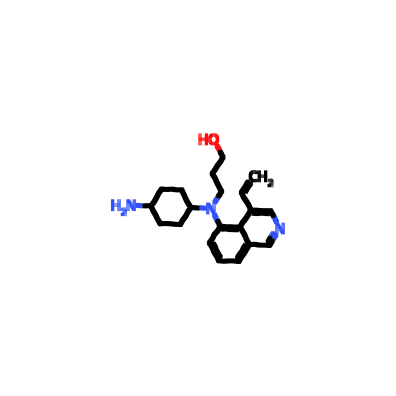 C=Cc1cncc2cccc(N(CCCO)C3CCC(N)CC3)c12